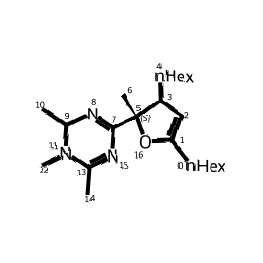 CCCCCCC1=CC(CCCCCC)[C@@](C)(C2=NC(C)N(C)C(C)=N2)O1